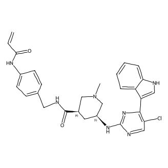 C=CC(=O)Nc1ccc(CNC(=O)[C@@H]2C[C@H](Nc3ncc(Cl)c(-c4c[nH]c5ccccc45)n3)CN(C)C2)cc1